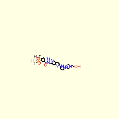 Cc1ccc(C(=O)NCc2cc3nc(-c4cccc(N5CCN(CCO)CC5)n4)ccc3cn2)cc1S(C)(=O)=O